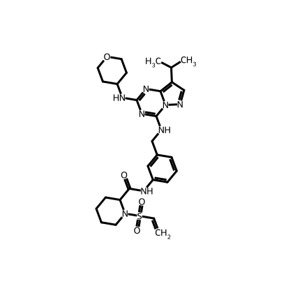 C=CS(=O)(=O)N1CCCCC1C(=O)Nc1cccc(CNc2nc(NC3CCOCC3)nc3c(C(C)C)cnn23)c1